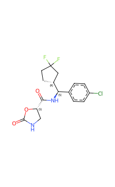 O=C1NC[C@@H](C(=O)N[C@H](c2ccc(Cl)cc2)[C@@H]2CCC(F)(F)C2)O1